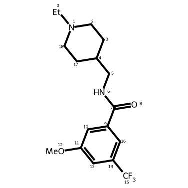 CCN1CCC(CNC(=O)c2cc(OC)cc(C(F)(F)F)c2)CC1